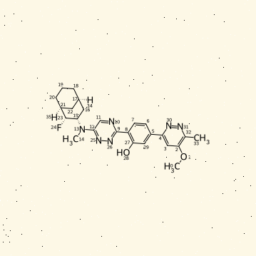 COc1cc(-c2ccc(-c3ncc(N(C)[C@H]4C[C@@H]5CCC[C@@H](C5)[C@H]4F)nn3)c(O)c2)nnc1C